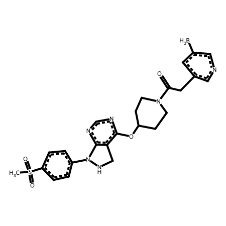 Bc1cncc(CC(=O)N2CCC(Oc3ncnc4c3CNN4c3ccc(S(C)(=O)=O)cc3)CC2)c1